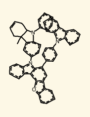 CC12CC=CCC1N(c1ccccc1)c1ccc(-n3c4ccccc4c4c5oc6ccccc6c5cc(-c5ccc(-n6c7ccccc7c7ccccc76)cc5)c43)cc12